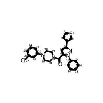 O=C(c1cc(-c2ccsc2)nn1-c1ccccc1)N1CCN(c2cccc(Cl)c2)CC1